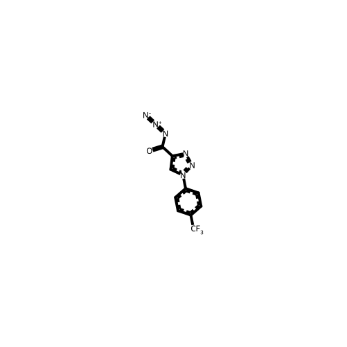 [N-]=[N+]=NC(=O)c1cn(-c2ccc(C(F)(F)F)cc2)nn1